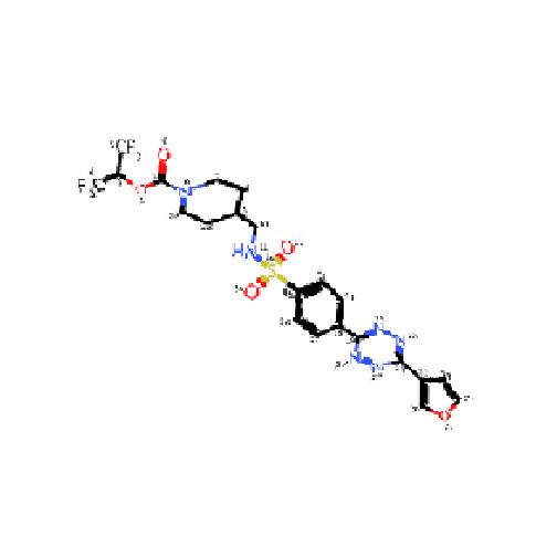 O=C(OC(C(F)(F)F)C(F)(F)F)N1CCC(CNS(=O)(=O)c2ccc(-c3nnc(-c4ccoc4)nn3)cc2)CC1